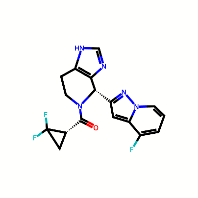 O=C([C@@H]1CC1(F)F)N1CCc2[nH]cnc2[C@@H]1c1cc2c(F)cccn2n1